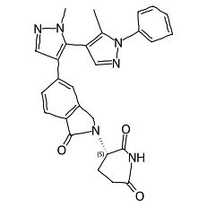 Cc1c(-c2c(-c3ccc4c(c3)CN([C@H]3CCC(=O)NC3=O)C4=O)cnn2C)cnn1-c1ccccc1